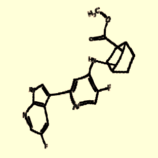 COC(=O)C1C2CCC(CC2)C1Nc1cc(-c2c[nH]c3ncc(F)cc23)ncc1F